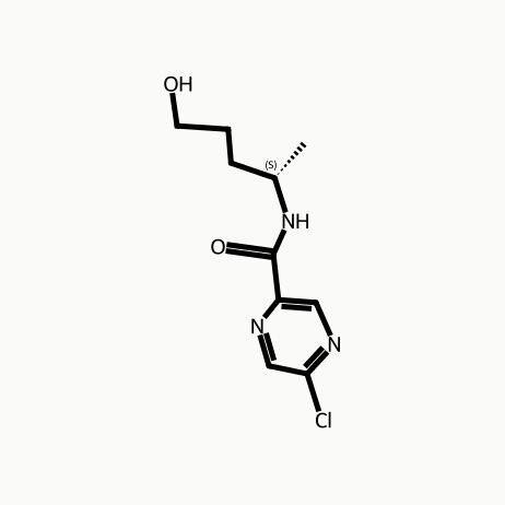 C[C@@H](CCCO)NC(=O)c1cnc(Cl)cn1